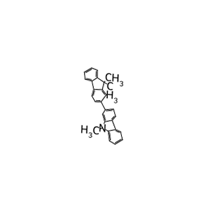 Cn1c2ccccc2c2ccc(-c3ccc4c(c3)C(C)(C)c3ccccc3-4)cc21